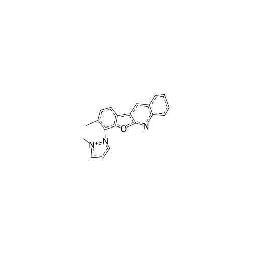 Cc1ccc2c(oc3nc4ccccc4cc32)c1-n1ccc[n+]1C